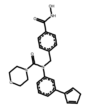 O=C(NO)c1ccc(CN(C(=O)N2CCOCC2)c2cccc(C3=CCC=C3)c2)cc1